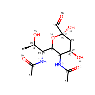 CC(=O)NC1C([C@H](NC(C)=O)[C@@H](C)O)O[C@@](O)(C=O)C[C@H]1O